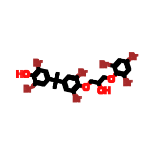 CC(C)(c1cc(Br)c(O)c(Br)c1)c1cc(Br)c(OCC(O)COc2c(Br)cc(Br)cc2Br)c(Br)c1